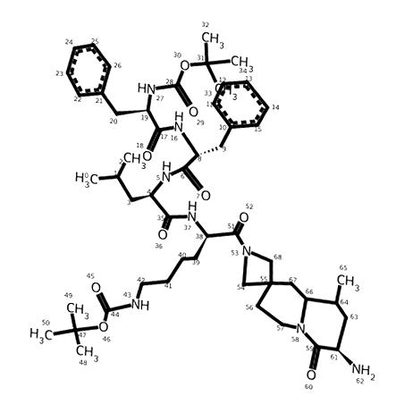 CC(C)C[C@@H](NC(=O)[C@@H](Cc1ccccc1)NC(=O)[C@@H](Cc1ccccc1)NC(=O)OC(C)(C)C)C(=O)N[C@H](CCCCNC(=O)OC(C)(C)C)C(=O)N1CC2(CCN3C(=O)[C@H](N)CC(C)C3C2)C1